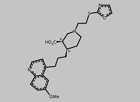 COc1ccc2nccc(CCC[C@@H]3CCN(CCSc4ncco4)C[C@@H]3C(=O)O)c2c1